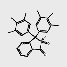 Cc1cc(C2(c3cc(C)c(C)c(C)c3)c3ccccc3C(=O)S2(=O)=O)cc(C)c1C